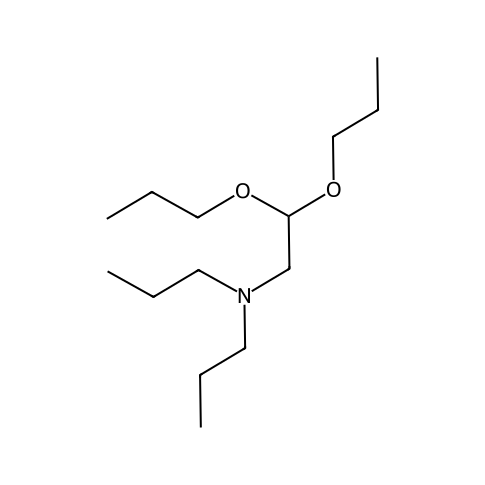 CCCOC(CN(CCC)CCC)OCCC